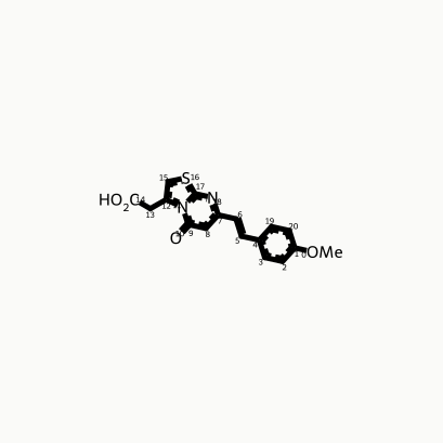 COc1ccc(/C=C/c2cc(=O)n3c(CC(=O)O)csc3n2)cc1